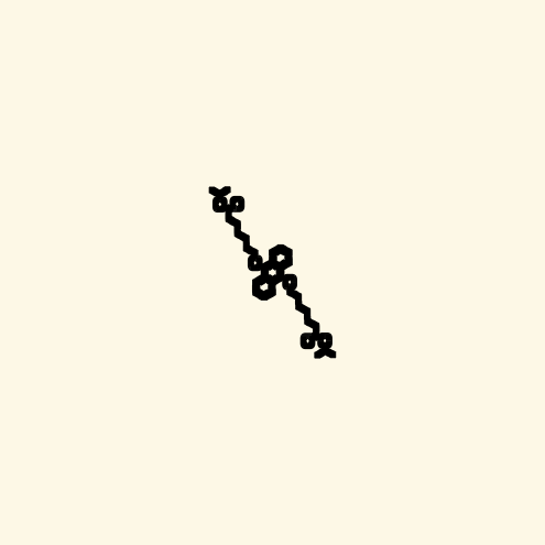 CC(C)OC(=O)CCCCCCOc1c2ccccc2c(OCCCCCCC(=O)OC(C)C)c2ccccc12